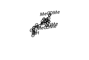 CC[C@H](C(=O)N1CCCC[C@H]1C(=O)O[C@H](CCc1ccc(OC)c(OC)c1)c1ccccc1OCC(=O)NCCCCC(=O)Nc1cccc2c1CN(C1CCC(=O)NC1=O)C2=O)c1cc(OC)c(OC)c(OC)c1